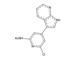 CC(=O)Nc1cc(-c2c[nH]c3ncccc23)cc(Cl)n1